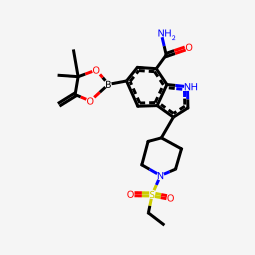 C=C1OB(c2cc(C(N)=O)c3[nH]cc(C4CCN(S(=O)(=O)CC)CC4)c3c2)OC1(C)C